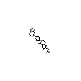 CCCCOc1ccc2c(c1)CCN(c1ccc(N3CCCN(C)CC3)cc1)C2=O